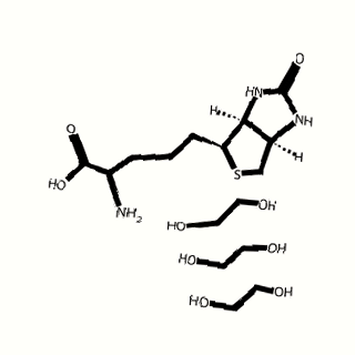 NC(CCC[C@@H]1SC[C@@H]2NC(=O)N[C@@H]21)C(=O)O.OCCO.OCCO.OCCO